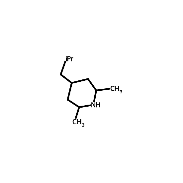 CC(C)CC1CC(C)NC(C)C1